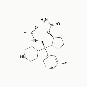 CC(=O)NC[C@@](c1cccc(F)c1)(C1CCNCC1)[C@H]1CCC[C@@H]1OC(N)=O